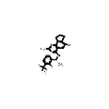 Cc1nc(N[C@H](C)c2cccc(C(C)(F)F)c2F)c2cc(Br)c3c(c2n1)CCC3